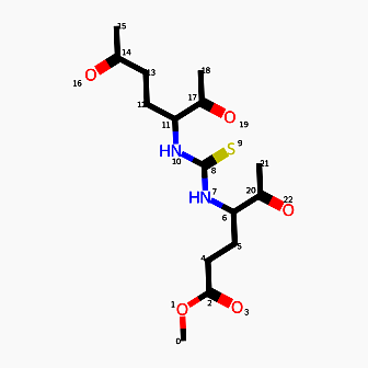 COC(=O)CCC(NC(=S)NC(CCC(C)=O)C(C)=O)C(C)=O